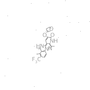 Cc1c([C@@H](C)Nc2nnc(C)c3[nH]c(=O)c(O[C@H]4CCOC4)cc23)cccc1C(F)(F)F